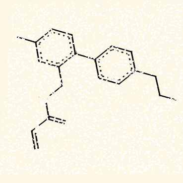 C=CC(=O)OCc1cc(C)ccc1-c1ccc(CCO)cc1